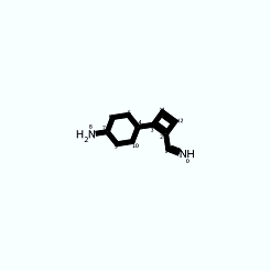 N=CC1=C(C2CCC(N)CC2)C=C1